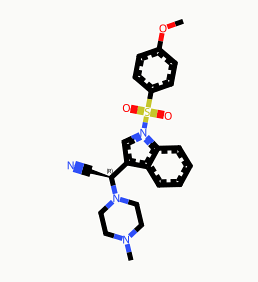 COc1ccc(S(=O)(=O)n2cc([C@H](C#N)N3CCN(C)CC3)c3ccccc32)cc1